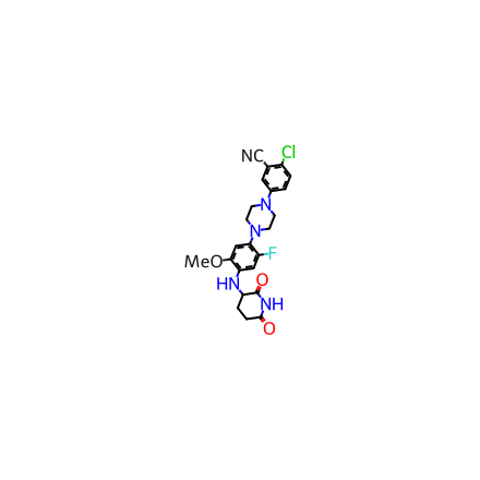 COc1cc(N2CCN(c3ccc(Cl)c(C#N)c3)CC2)c(F)cc1NC1CCC(=O)NC1=O